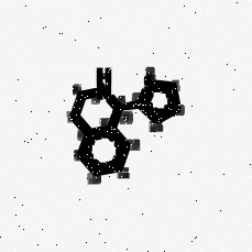 c1csc([C@@H]2NCCc3ccccc32)c1